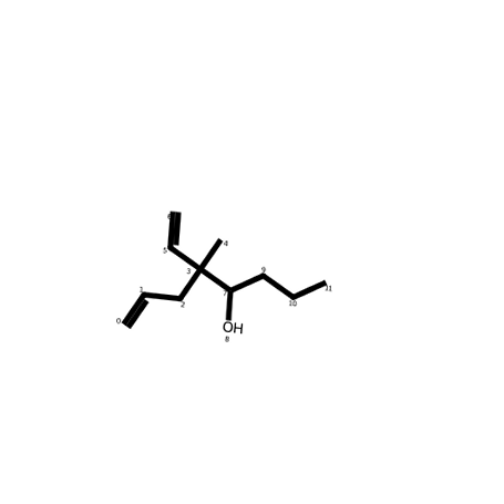 C=CCC(C)(C=C)C(O)CCC